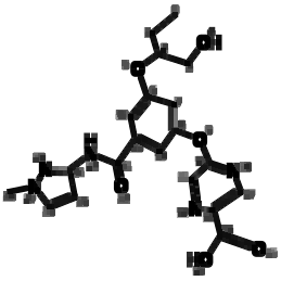 CCC(CO)Oc1cc(Oc2cnc(C(=O)O)cn2)cc(C(=O)Nc2ccn(C)n2)c1